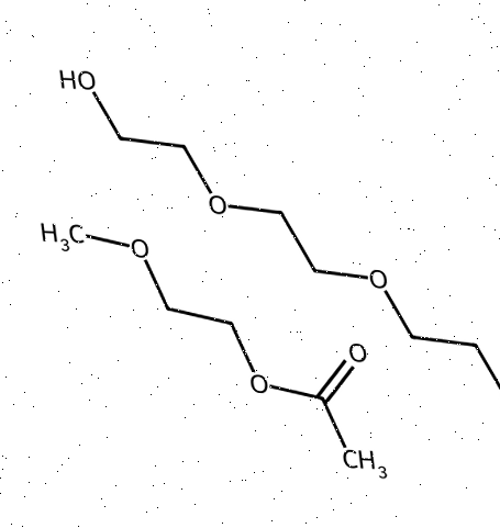 COCCOC(C)=O.OCCOCCOCCO